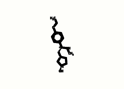 CCOc1ccc([C@@H](CN2CC[C@H](O)C2)NC)cc1